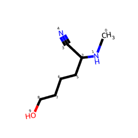 CNC(C#N)CCCCO